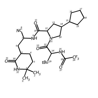 CC1(C)CCC(CC(C#N)NC(=O)C2CC(C3CCCC3)CN2C(=O)C(NC(=O)C(F)(F)F)C(C)(C)C)C(=O)N1